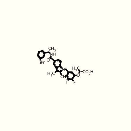 Cc1c(C)n(Cc2cc(F)c(F)c(O[C@@H](C)C(=O)O)c2)c2ccc(C(=O)N[C@@H](C)c3cccc(C(C)C)c3)cc12